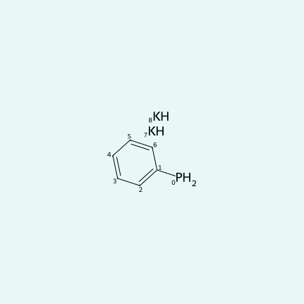 Pc1ccccc1.[KH].[KH]